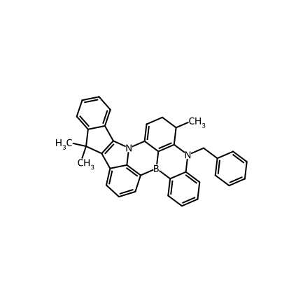 CC1CC=C2C3=C1N(Cc1ccccc1)c1ccccc1B3c1cccc3c4c(n2c13)-c1ccccc1C4(C)C